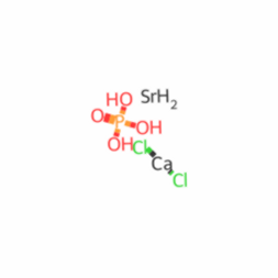 O=P(O)(O)O.[Cl][Ca][Cl].[SrH2]